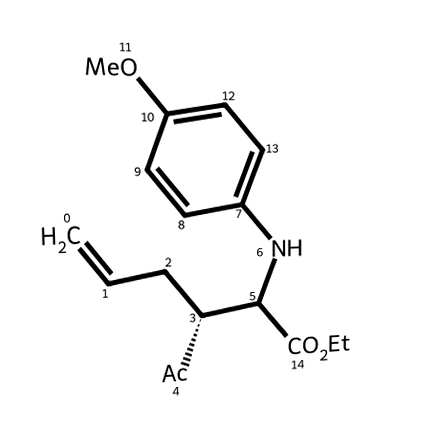 C=CC[C@@H](C(C)=O)C(Nc1ccc(OC)cc1)C(=O)OCC